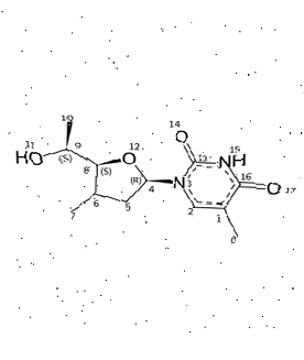 Cc1cn([C@H]2CC(C)[C@@H]([C@H](C)O)O2)c(=O)[nH]c1=O